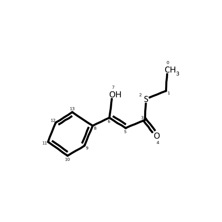 CCSC(=O)/C=C(\O)c1ccccc1